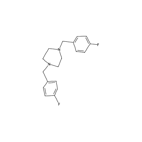 Fc1ccc(CN2CCN(Cc3ccc(F)cc3)CC2)cc1